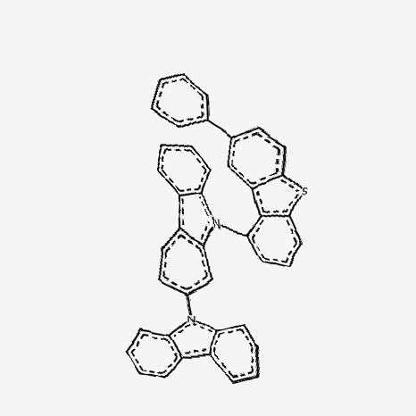 c1ccc(-c2ccc3sc4cccc(-n5c6ccccc6c6ccc(-n7c8ccccc8c8ccccc87)cc65)c4c3c2)cc1